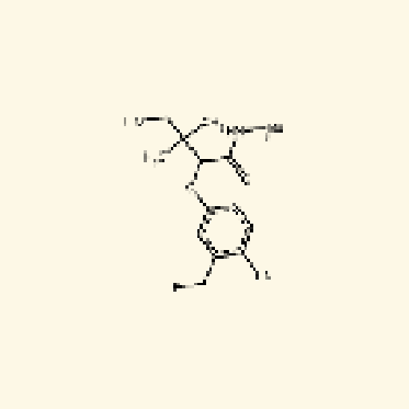 CC[C@H](C)NC(=O)C(Oc1ccc(C#N)c(CF)c1)C(C)(C)CO